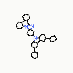 c1ccc(-c2ccc3c(c2)c2cc(-c4ccccc4)ccc2n3-c2ccc3c(c2)nc2c4ccccc4c4ccccc4n32)cc1